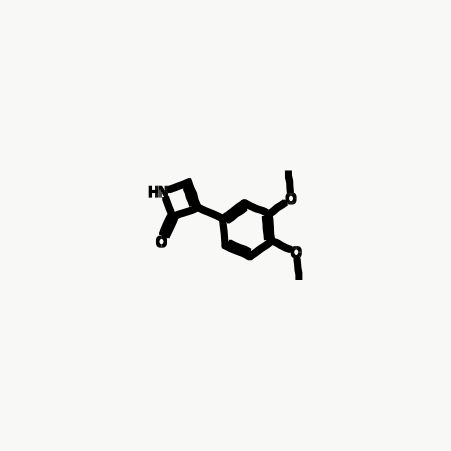 COc1ccc(C2=CNC2=O)cc1OC